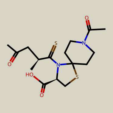 CC(=O)C[C@H](C)C(=S)N1[C@H](C(=O)O)CSC12CCN(C(C)=O)CC2